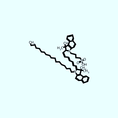 CCCCCCCCCCCCCCCCCCN1C(=CC=CC=CC=CC2N(CCCCS(=O)(=O)O)c3ccc4ccccc4c3C2(C)C)C(C)(C)c2c1ccc1ccccc21